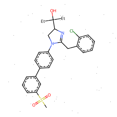 CCC(O)(CC)C1CN(c2ccc(-c3cccc(S(C)(=O)=O)c3)cc2)C(Cc2ccccc2Cl)=N1